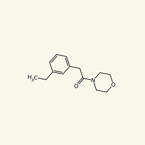 CCc1cccc(CC(=O)N2CCOCC2)c1